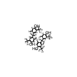 CCC(C)(c1cc(C(C)(C)C)c(O)cc1C)c1cc(C(C)(C)C)c(O)cc1C.Cc1cc(O)c(C(C)(C)C)cc1C(C)(C)c1cc(C(C)(C)C)c(O)cc1C